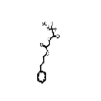 O=C(COC(=O)C(F)(F)S(=O)(=O)O)OCCCc1ccccc1